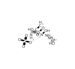 CC(=O)O.Cl.N.N.N.N.O=S(=O)([O-])O.O=S(=O)([O-])[O-].O=[N+]([O-])O.[Al+3]